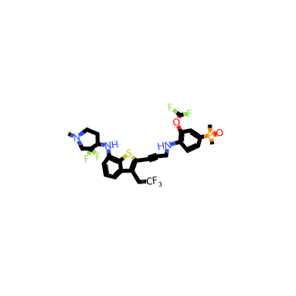 CN1CCC(Nc2cccc3c(CC(F)(F)F)c(C#CCNc4ccc(P(C)(C)=O)cc4OC(F)F)sc23)C(F)(F)C1